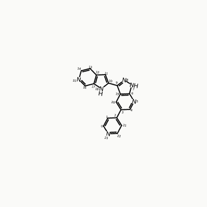 c1cc(-c2cnc3[nH]nc(-c4cc5ccncc5[nH]4)c3c2)ccn1